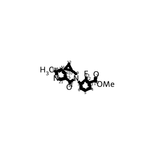 COC(=O)c1cccc(N(CC2CC2)C(=O)c2ccc(C)nc2)c1F